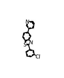 Clc1cccc(-c2nc3cc(-c4cc#cnc4)ccc3s2)c1